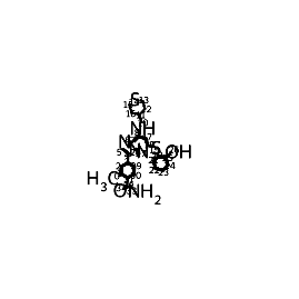 Cc1cc(-c2cnc3c(NCC4CCSCC4)cc(Sc4ccccc4O)nn23)ccc1C(N)=O